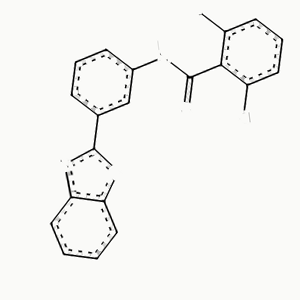 O=C(Nc1cccc(-c2nc3ccccc3s2)c1)c1c(Cl)cccc1I